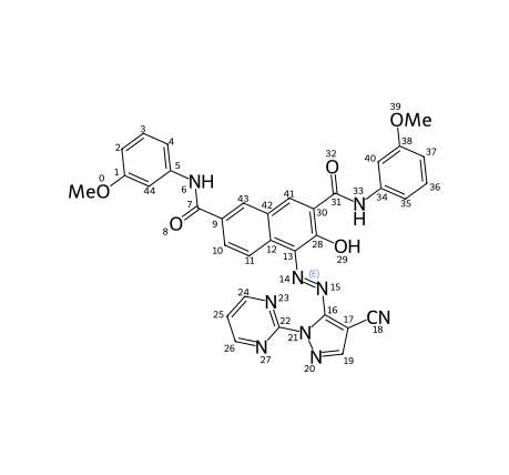 COc1cccc(NC(=O)c2ccc3c(/N=N/c4c(C#N)cnn4-c4ncccn4)c(O)c(C(=O)Nc4cccc(OC)c4)cc3c2)c1